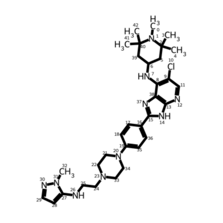 CN1C(C)(C)CC(Nc2c(Cl)cnc3[nH]c(-c4ccc(N5CCN(CCNc6ccnn6C)CC5)cc4)nc23)CC1(C)C